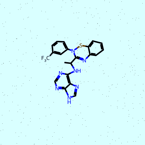 CC(Nc1ncnc2[nH]cnc12)C1=Nc2ccccc2SN1c1cccc(C(F)(F)F)c1